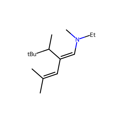 CCN(C)/C=C(/C=C(C)C)C(C)C(C)(C)C